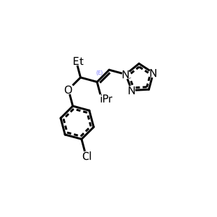 CCC(Oc1ccc(Cl)cc1)/C(=C/n1cncn1)C(C)C